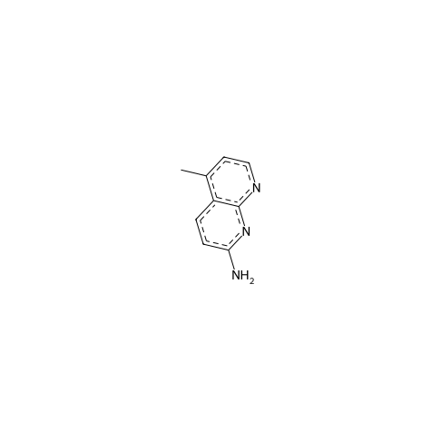 Cc1ccnc2nc(N)ccc12